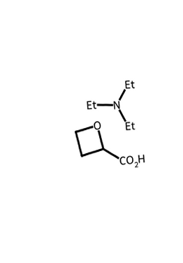 CCN(CC)CC.O=C(O)C1CCO1